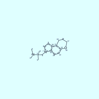 CN(C)C(C)(C)Cn1ccc2c3c(ccc21)OCCC3